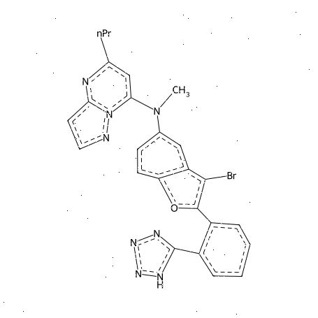 CCCc1cc(N(C)c2ccc3oc(-c4ccccc4-c4nnn[nH]4)c(Br)c3c2)n2nccc2n1